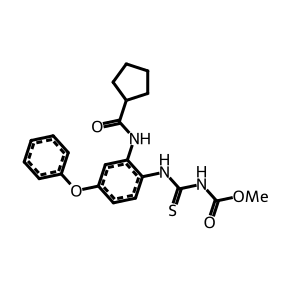 COC(=O)NC(=S)Nc1ccc(Oc2ccccc2)cc1NC(=O)C1CCCC1